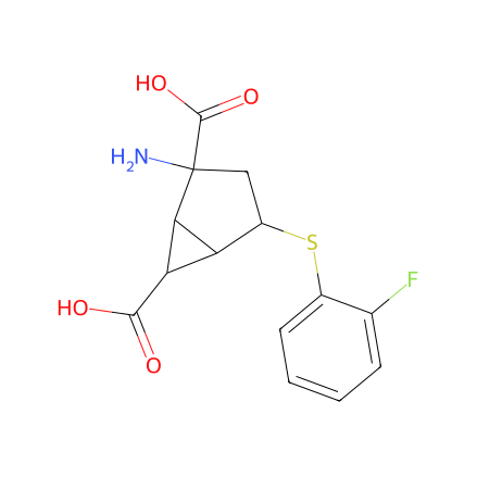 NC1(C(=O)O)CC(Sc2ccccc2F)C2C(C(=O)O)C21